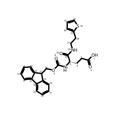 O=C(O)CC[C@H](NC(=O)OCC1c2ccccc2-c2ccccc21)C(=O)NCCc1cccs1